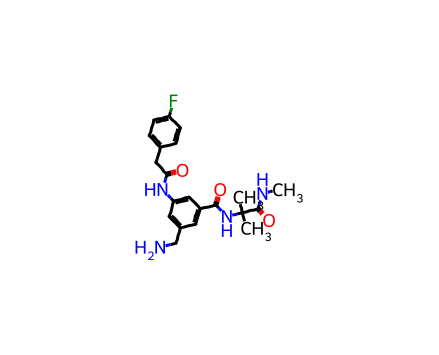 CNC(=O)C(C)(C)NC(=O)c1cc(CN)cc(NC(=O)Cc2ccc(F)cc2)c1